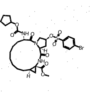 COC(=O)[C@@]12C[C@H]1CCCCCCC[C@H](NC(=O)OC1CCCC1)C(=O)N1C[C@@H](OS(=O)(=O)c3ccc(Br)cc3)C[C@H]1C(=O)N2